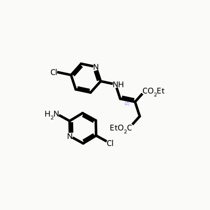 CCOC(=O)C/C(=C/Nc1ccc(Cl)cn1)C(=O)OCC.Nc1ccc(Cl)cn1